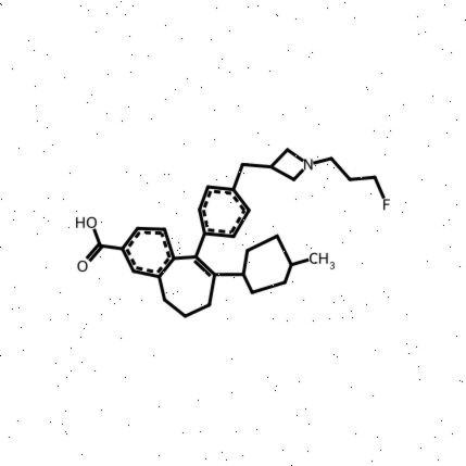 CC1CCC(C2=C(c3ccc(CC4CN(CCCF)C4)cc3)c3ccc(C(=O)O)cc3CCC2)CC1